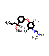 C=CCC(C)(OCCCC)c1cccc(Oc2cc(C)c(N=CN(C)CC)cc2C)c1